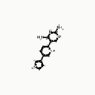 Nc1ncc(-c2ccc(-c3ccsc3)cn2)c(N)n1